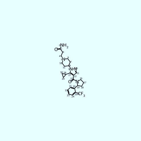 NC(=O)CCN1CCC(n2ncc(C(=O)N3CCCC3c3ccccc3C(F)(F)F)c2C2CC2)CC1